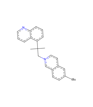 CC(C)(C)c1ccc2c[n+](CC(C)(C)c3cccc4ncccc34)ccc2c1